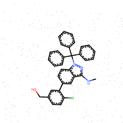 CNc1nn(C(c2ccccc2)(c2ccccc2)c2ccccc2)c2ccc(-c3cc(CO)ccc3Cl)cc12